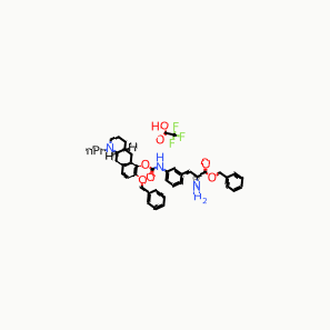 CCCN1CCC[C@@H]2Cc3c(ccc(OCc4ccccc4)c3OC(=O)Nc3cccc(C[C@H](N)C(=O)OCc4ccccc4)c3)C[C@H]21.O=C(O)C(F)(F)F